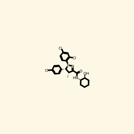 C[C@H]1C(C(=O)N[C@H]2CCCC[C@@H]2O)=NN(c2ccc(Cl)cc2Cl)[C@H]1c1ccc(Cl)cc1